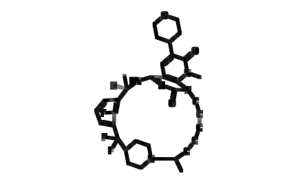 CC1CCCCCn2c(=O)nc(c3cc(C4CCOCC4)c(=O)n(C)c32)N[C@H](C)c2cccc(c2F)C(F)(F)C2CCN1CC2